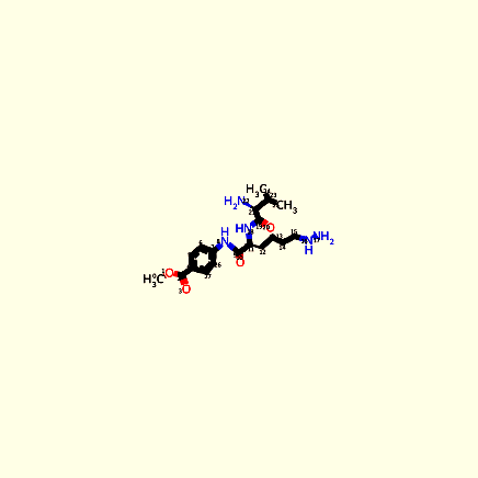 COC(=O)c1ccc(NC(=O)[C@H](CCCCNN)NC(=O)[C@@H](N)C(C)C)cc1